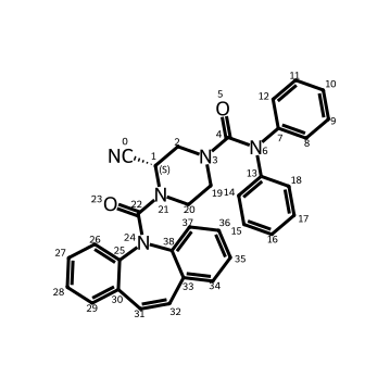 N#C[C@@H]1CN(C(=O)N(c2ccccc2)c2ccccc2)CCN1C(=O)N1c2ccccc2C=Cc2ccccc21